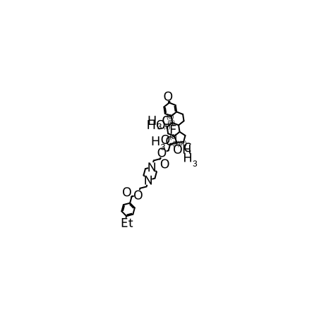 CCc1ccc(C(=O)OCCN2CCN(CC(=O)OCC(=O)[C@@]3(O)[C@H](C)CC4C5CCC6=CC(=O)C=C[C@]6(C)[C@@]5(F)[C@@H](O)C[C@@]43C)CC2)cc1